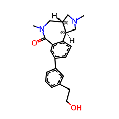 CN1C[C@H]2CN(C)C(=O)c3cc(-c4cccc(CCO)c4)ccc3[C@@H]2C1